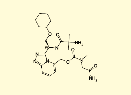 CN(CC(N)=O)C(=O)OCc1cccc2nnc([C@@H](COC3CCCCC3)NC(=O)C(C)(C)N)n12